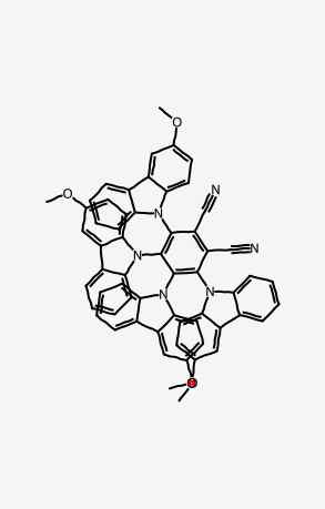 COc1ccc2c(c1)c1ccccc1n2-c1c(C#N)c(C#N)c(-n2c3ccccc3c3cc(OC)ccc32)c(-n2c3ccccc3c3cc(OC)ccc32)c1-n1c2ccccc2c2cc(OC)ccc21